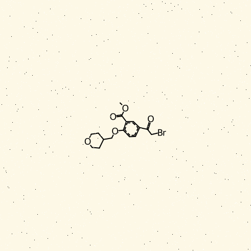 COC(=O)c1cc(C(=O)CBr)ccc1OCC1CCOCC1